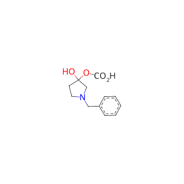 O=C(O)OC1(O)CCN(Cc2ccccc2)C1